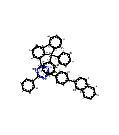 c1ccc(-c2nc(-c3ccc(-c4ccc5ccccc5c4)cc3)nc(-c3cccc4c3[Si](c3ccccc3)(c3ccccc3)c3ccccc3-4)n2)cc1